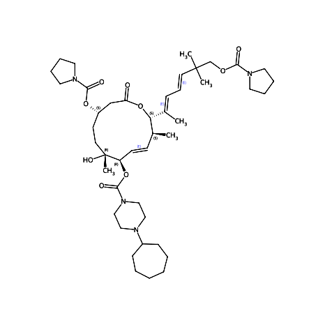 C/C(=C\C=C\C(C)(C)COC(=O)N1CCCC1)[C@H]1OC(=O)C[C@@H](OC(=O)N2CCCC2)CC[C@@](C)(O)[C@H](OC(=O)N2CCN(C3CCCCCC3)CC2)/C=C/[C@@H]1C